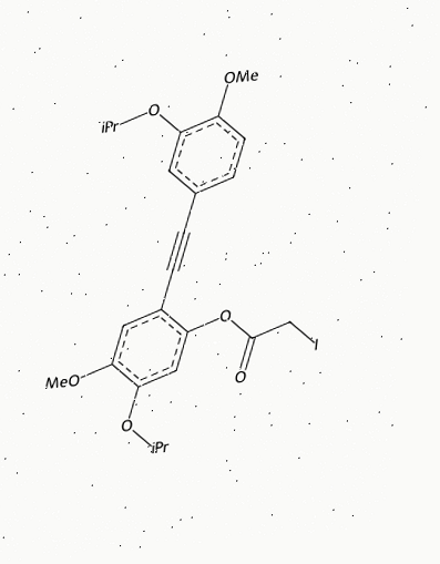 COc1ccc(C#Cc2cc(OC)c(OC(C)C)cc2OC(=O)CI)cc1OC(C)C